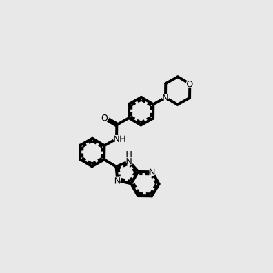 O=C(Nc1ccccc1-c1nc2cccnc2[nH]1)c1ccc(N2CCOCC2)cc1